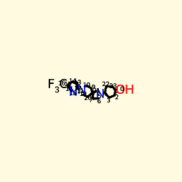 O[C@H]1CC[C@H](N2CCC3(CCN(c4ccc(C(F)(F)F)cn4)CC3)C2)CC1